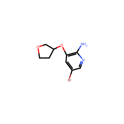 Nc1ncc(Br)cc1OC1CCOC1